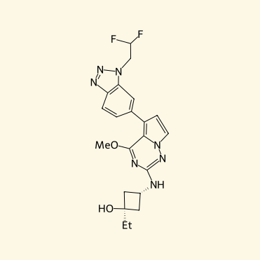 CC[C@]1(O)C[C@H](Nc2nc(OC)c3c(-c4ccc5nnn(CC(F)F)c5c4)ccn3n2)C1